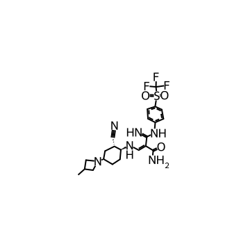 CC1CN([C@@H]2CC[C@H](N/C=C(\C(=N)Nc3ccc(S(=O)(=O)C(F)(F)F)cc3)C(N)=O)[C@@H](C#N)C2)C1